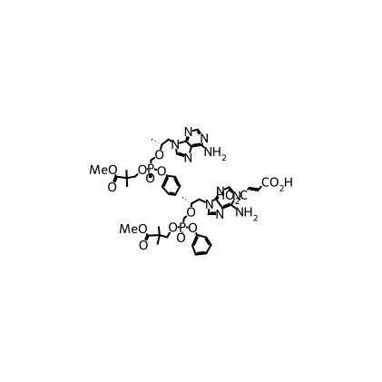 COC(=O)C(C)(C)COP(=O)(CO[C@H](C)Cn1cnc2c(N)ncnc21)Oc1ccccc1.COC(=O)C(C)(C)COP(=O)(CO[C@H](C)Cn1cnc2c(N)ncnc21)Oc1ccccc1.O=C(O)/C=C/C(=O)O